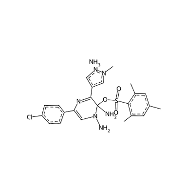 Cc1cc(C)c(S(=O)(=O)OC2(N)C(c3cnn(C)c3)=NC(c3ccc(Cl)cc3)=CN2N)c(C)c1.N